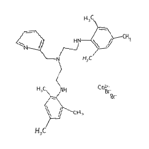 Cc1cc(C)c(NCCN(CCNc2c(C)cc(C)cc2C)Cc2ccccn2)c(C)c1.[Br-].[Br-].[Co+2]